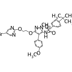 COc1ccc(-c2c(OCCOc3ncc(Br)cn3)nn(C)c2NS(=O)(=O)c2ccc(C(C)(C)C)cc2)cc1